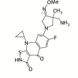 CO/N=C1/CN(c2cc3c(cc2F)c(=O)c2c(=O)[nH]sc2n3C2CC2)CC1(C)CN